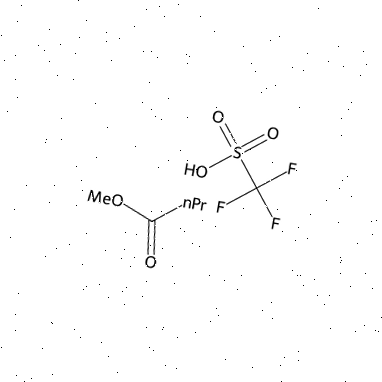 CCCC(=O)OC.O=S(=O)(O)C(F)(F)F